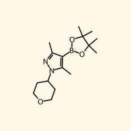 Cc1nn(C2CCOCC2)c(C)c1B1OC(C)(C)C(C)(C)O1